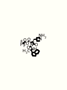 C[C@@H](NC(=O)N1C(=O)[C@H](Cc2ccnc(N)c2)[C@H]1C(=O)OC(=O)C(F)(F)F)c1cccc2ccccc12